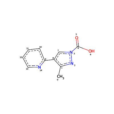 Cc1nn(C(=O)O)cc1-c1ccccn1